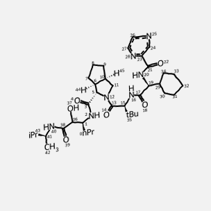 CCC[C@H](NC(=O)[C@@H]1[C@H]2CCC[C@H]2CN1C(=O)[C@@H](NC(=O)[C@@H](NC(=O)c1cnccn1)C1CCCCC1)C(C)(C)C)C(O)C(=O)N[C@@H](C)C(C)C